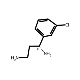 NCC[C@@H](N)c1cccc(Cl)c1